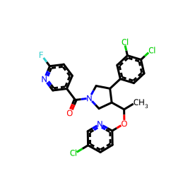 CC(Oc1ccc(Cl)cn1)C1CN(C(=O)c2ccc(F)nc2)CC1c1ccc(Cl)c(Cl)c1